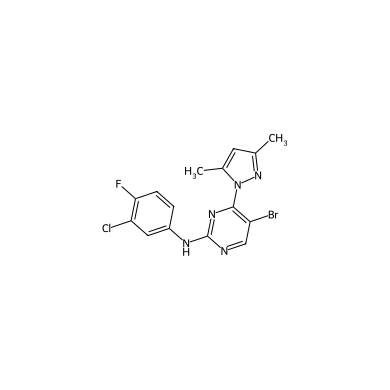 Cc1cc(C)n(-c2nc(Nc3ccc(F)c(Cl)c3)ncc2Br)n1